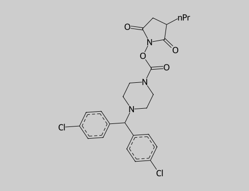 CCCC1CC(=O)N(OC(=O)N2CCN(C(c3ccc(Cl)cc3)c3ccc(Cl)cc3)CC2)C1=O